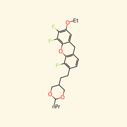 CCCC1OCC(CCc2ccc3c(c2F)Oc2c(cc(OCC)c(F)c2F)C3)CO1